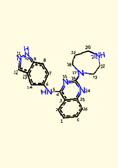 c1ccc2c(Nc3ccc4[nH]ncc4c3)nc(N3CCCNCC3)nc2c1